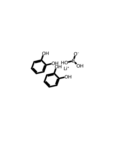 Oc1ccccc1O.Oc1ccccc1O.[Li+].[O-]B(O)O